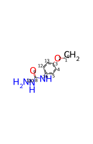 C=COc1ccc(NC(=O)NN)cc1